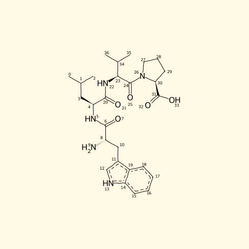 CC(C)C[C@H](NC(=O)[C@@H](N)Cc1c[nH]c2ccccc12)C(=O)N[C@H](C(=O)N1CCC[C@H]1C(=O)O)C(C)C